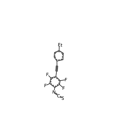 CCc1ccc(C#Cc2c(F)c(F)c(N=C=S)c(F)c2F)cc1